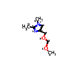 COCOCc1cn(C)c(C)n1